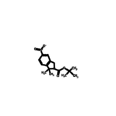 CC(C)(C)OC(=O)N1Cc2cc([N+](=O)[O-])ccc2C1(C)C